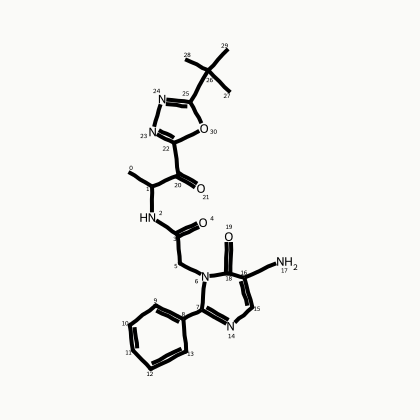 CC(NC(=O)Cn1c(-c2ccccc2)ncc(N)c1=O)C(=O)c1nnc(C(C)(C)C)o1